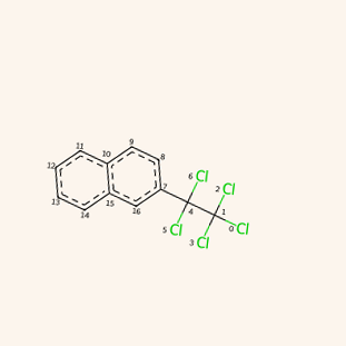 ClC(Cl)(Cl)C(Cl)(Cl)c1ccc2ccccc2c1